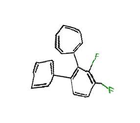 Fc1ccc(-c2ccccc2)c(-c2ccccc2)c1F